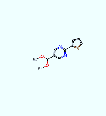 CCOC(OCC)c1cnc(-c2cccs2)nc1